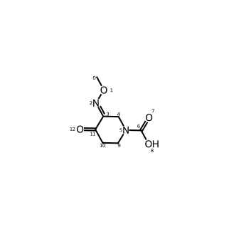 CO/N=C1\CN(C(=O)O)CCC1=O